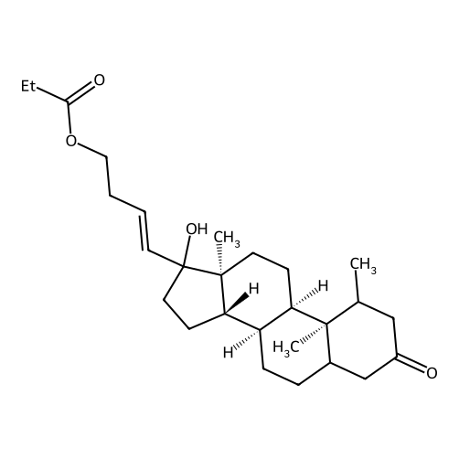 CCC(=O)OCCC=CC1(O)CC[C@H]2[C@@H]3CCC4CC(=O)CC(C)[C@]4(C)[C@@H]3CC[C@@]21C